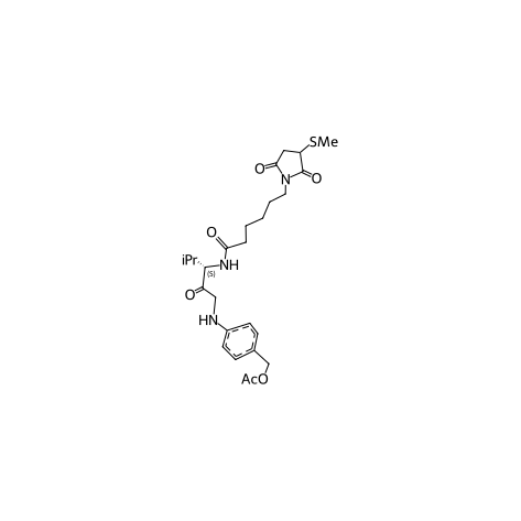 CSC1CC(=O)N(CCCCCC(=O)N[C@H](C(=O)CNc2ccc(COC(C)=O)cc2)C(C)C)C1=O